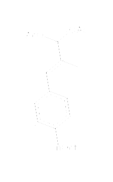 CCCCCCCCc1ccc(/C=C(\C)C(OC(C)=O)OC(C)=O)cc1